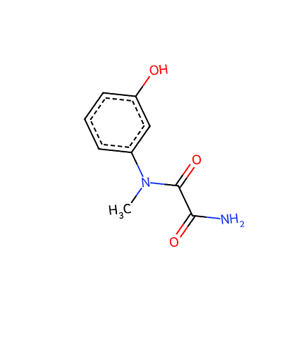 CN(C(=O)C(N)=O)c1cccc(O)c1